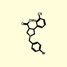 COC(=O)C1CN(Cc2ccc(Br)cc2)CC1c1cccc(C#N)c1